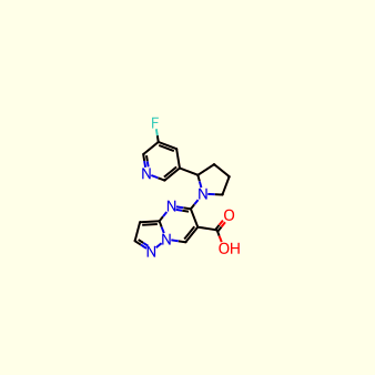 O=C(O)c1cn2nccc2nc1N1CCCC1c1cncc(F)c1